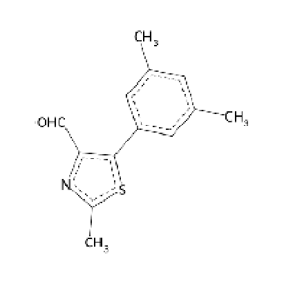 Cc1cc(C)cc(-c2sc(C)nc2[C]=O)c1